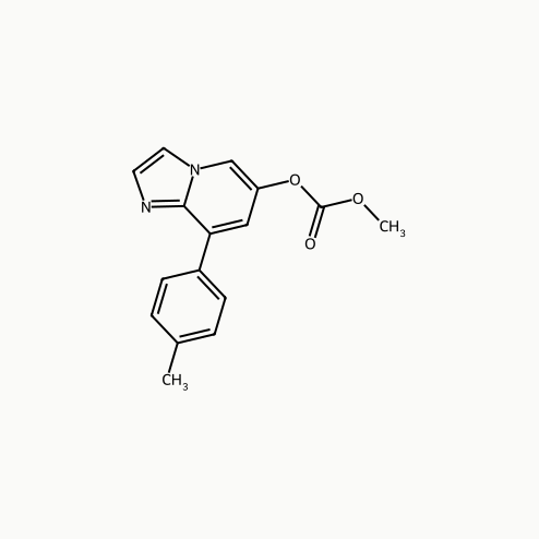 COC(=O)Oc1cc(-c2ccc(C)cc2)c2nccn2c1